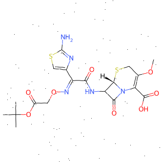 COC1=C(C(=O)O)N2C(=O)C(NC(=O)C(=NOCC(=O)OC(C)(C)C)c3csc(N)n3)[C@@H]2SC1